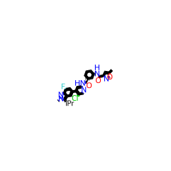 Cc1cc(C(=O)N[C@@H]2CCC[C@H](C(=O)Nc3cc(-c4cc(F)c5nn(C)c(C(C)C)c5c4)c(Cl)cn3)C2)no1